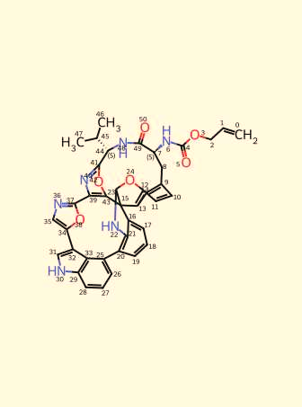 C=CCOC(=O)N[C@H]1Cc2ccc3c(c2)C24c5cccc(c5NC2O3)-c2cccc3[nH]cc(c23)-c2cnc(o2)-c2nc(oc24)[C@H](C(C)C)NC1=O